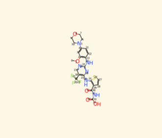 COc1cc(N2CCOCC2)ccc1Nc1ncc(C(F)(F)F)c(Nc2sccc2C(=O)NC(=O)O)n1